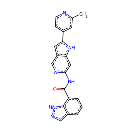 Cc1cc(-c2cc3cnc(NC(=O)c4cccc5cn[nH]c45)cc3[nH]2)ccn1